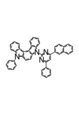 c1ccc(-c2cc(-c3ccc4ccccc4c3)nc(-n3c4ccccc4c4c5c6ccccc6n(-c6ccccc6)c5ccc43)n2)cc1